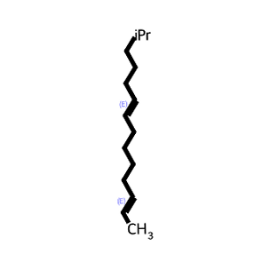 C/C=C/CCCC/C=C/CCCC(C)C